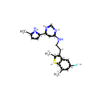 Cc1ccc(-c2cc(NCCc3c(C)sc4c(C)cc(F)cc34)ncn2)[nH]1